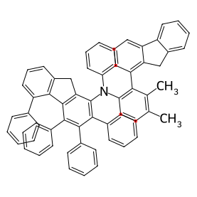 Cc1ccc(N(c2ccccc2)c2c3c(c(-c4ccccc4)c(-c4ccccc4)c2-c2ccccc2)-c2c(cccc2-c2ccccc2)C3)c(-c2cccc3c2Cc2ccccc2-3)c1C